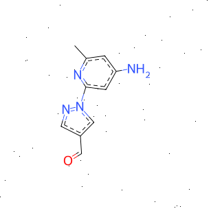 Cc1cc(N)cc(-n2cc(C=O)cn2)n1